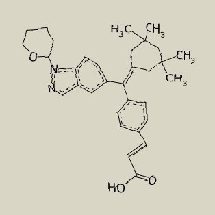 CC1(C)CC(=C(c2ccc(C=CC(=O)O)cc2)c2ccc3c(cnn3C3CCCCO3)c2)CC(C)(C)C1